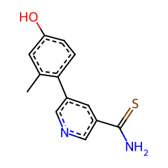 Cc1cc(O)ccc1-c1cncc(C(N)=S)c1